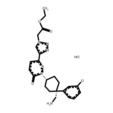 CCOC(=O)Cn1cc(-c2ccc(=O)n([C@H]3CC[C@](CN)(c4cccc(Cl)c4)CC3)n2)nn1.Cl